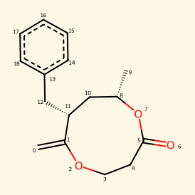 C=C1OCCC(=O)O[C@@H](C)C[C@H]1Cc1ccccc1